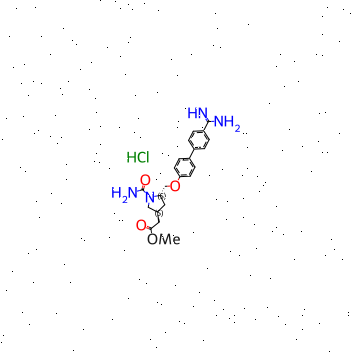 COC(=O)C[C@@H]1C[C@@H](COc2ccc(-c3ccc(C(=N)N)cc3)cc2)N(C(N)=O)C1.Cl